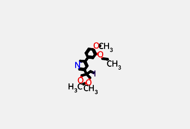 CCCOc1cc(-c2cncc(C3(CI)COC(C)(C)OC3)c2)ccc1OC